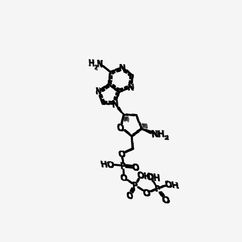 Nc1ncnc2c1ncn2[C@H]1C[C@@H](N)C(COP(=O)(O)OP(=O)(O)OP(=O)(O)O)O1